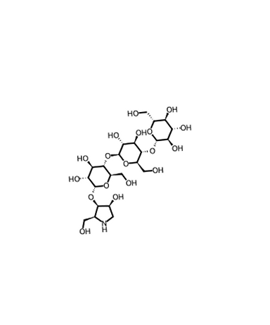 OC[C@@H]1NC[C@H](O)[C@@H]1O[C@H]1O[C@H](CO)[C@@H](O[C@@H]2O[C@H](CO)[C@@H](O[C@@H]3O[C@H](CO)[C@@H](O)[C@H](O)[C@H]3O)[C@H](O)[C@H]2O)[C@H](O)[C@H]1O